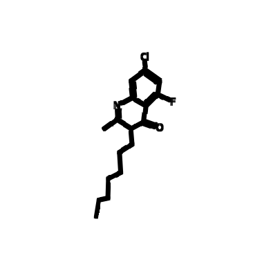 CCCCCCCC1C(=O)c2c(F)cc(Cl)cc2N=C1C